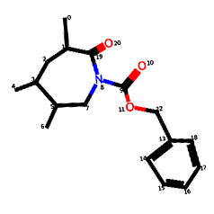 CC1CC(C)C(C)CN(C(=O)OCc2ccccc2)C1=O